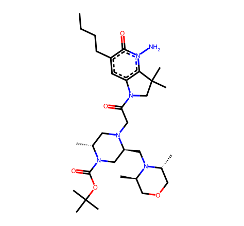 CCCCc1cc2c(n(N)c1=O)C(C)(C)CN2C(=O)CN1C[C@@H](C)N(C(=O)OC(C)(C)C)C[C@@H]1CN1[C@H](C)COC[C@H]1C